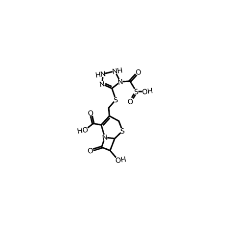 O=C(O)C1=C(CSC2=NNNN2C(=O)S(=O)O)CSC2C(O)C(=O)N12